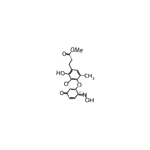 COC(=O)CCc1cc(C)c(OC2=CC(=O)C=C/C2=N\O)c(Cl)c1O